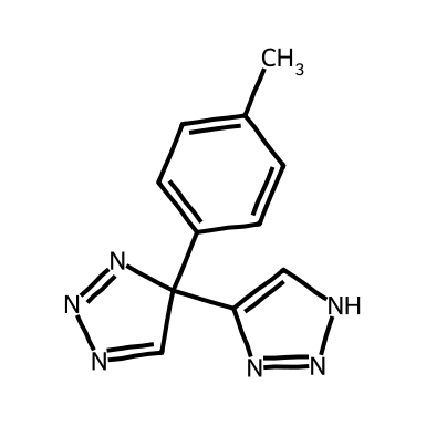 Cc1ccc(C2(c3c[nH]nn3)C=NN=N2)cc1